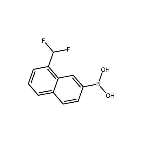 OB(O)c1ccc2cccc(C(F)F)c2c1